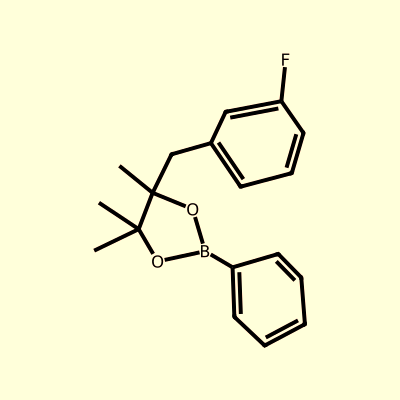 CC1(C)OB(c2ccccc2)OC1(C)Cc1cccc(F)c1